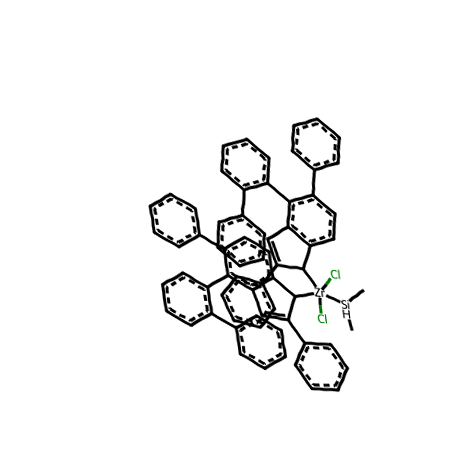 C[SiH](C)[Zr]([Cl])([Cl])([CH]1C(c2ccccc2)=Cc2c1ccc(-c1ccccc1)c2-c1ccccc1-c1ccccc1)[CH]1C(c2ccccc2)=Cc2c1ccc(-c1ccccc1)c2-c1ccccc1-c1ccccc1